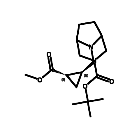 COC(=O)[C@H]1C[C@@H]1CN1C2CCC1CN(C(=O)OC(C)(C)C)C2